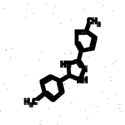 Cc1ccc(C2=NNC(c3ccc(C)cc3)N2)cc1